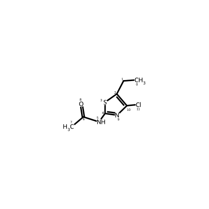 CCc1sc(NC(C)=O)nc1Cl